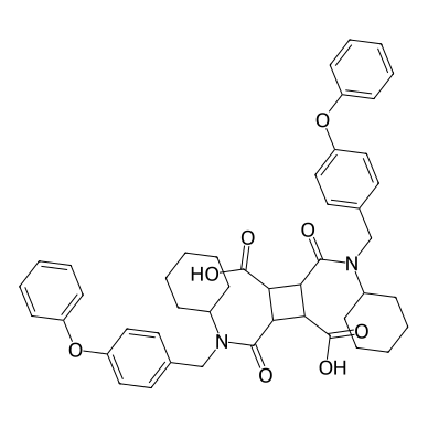 O=C(O)C1C(C(=O)N(Cc2ccc(Oc3ccccc3)cc2)C2CCCCC2)C(C(=O)O)C1C(=O)N(Cc1ccc(Oc2ccccc2)cc1)C1CCCCC1